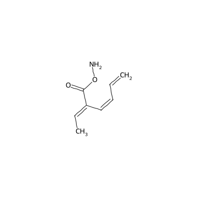 C=C/C=C\C(=C/C)C(=O)ON